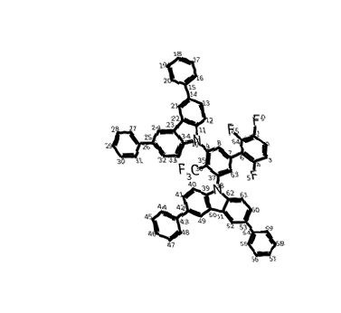 Fc1ccc(F)c(-c2cc(-n3c4ccc(-c5ccccc5)cc4c4cc(-c5ccccc5)ccc43)c(C(F)(F)F)c(-n3c4ccc(-c5ccccc5)cc4c4cc(-c5ccccc5)ccc43)c2)c1F